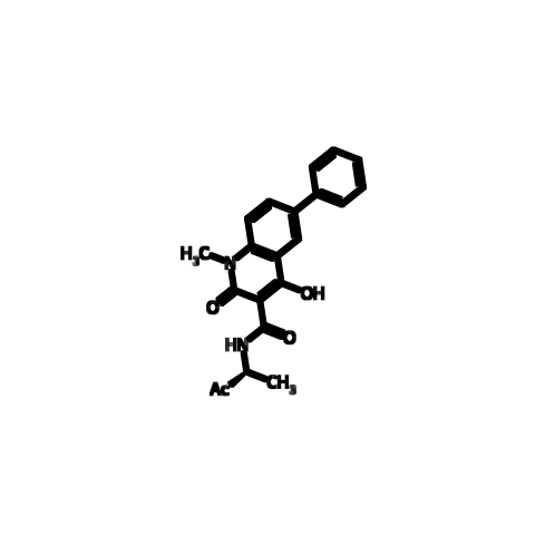 CC(=O)[C@H](C)NC(=O)c1c(O)c2cc(-c3ccccc3)ccc2n(C)c1=O